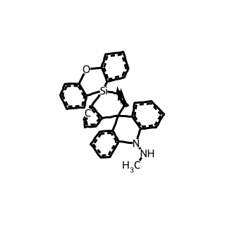 CNN1c2ccccc2C2(c3ccccc31)c1ccccc1[Si]1(c3ccccc3Oc3ccccc31)c1ccccc12